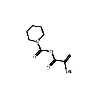 C=C(C(=O)OC(=O)N1CCCCC1)C(C)(C)C